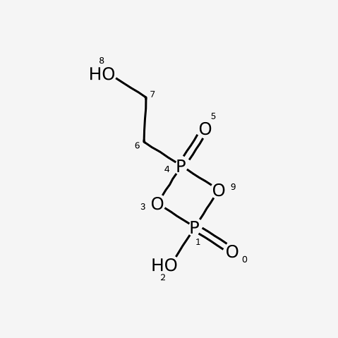 O=P1(O)OP(=O)(CCO)O1